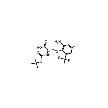 CC(C)(C)OC(=O)N[C@@H](COc1c(N)cc(Cl)cc1C(F)(F)F)C(=O)O